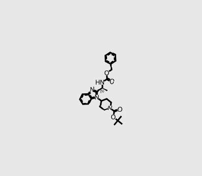 C[C@H](NC(=O)OCc1ccccc1)c1nc2ccccc2n1C1CCN(C(=O)OC(C)(C)C)CC1